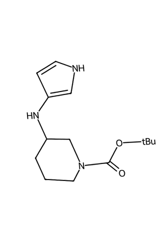 CC(C)(C)OC(=O)N1CCCC(Nc2cc[nH]c2)C1